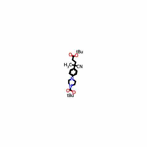 CC(C)(C)OC(=O)CCC(C)(C#N)c1ccc(N2CCN(C(=O)OC(C)(C)C)CC2)cc1